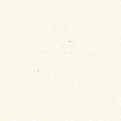 O=C(Nc1ccc(Cc2ccc(NC(=O)c3ccco3)c(C(=O)O)c2)cc1C(=O)O)c1ccco1